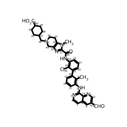 Cc1c(Nc2nccc3cc(C=O)cnc23)cccc1-c1cccc(NC(=O)c2nc3c(n2C)CCN(CC2CCC(C(=O)O)CC2)C3)c1Cl